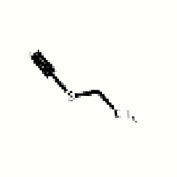 [C]#CSCC